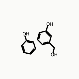 OCc1cccc(O)c1.Oc1ccccc1